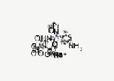 CCCO/N=C(\C(=O)N[C@H]1C(=O)N(S(=O)(=O)[O-])[C@H]1C(=O)OC)c1csc(N)n1.[Na+]